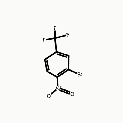 O=[N+]([O-])c1ccc(C(F)(F)F)cc1Br